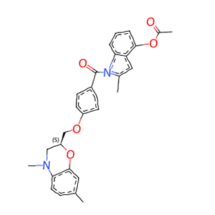 CC(=O)Oc1cccc2c1cc(C)n2C(=O)c1ccc(OC[C@@H]2CN(C)c3ccc(C)cc3O2)cc1